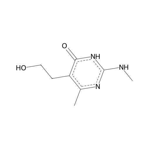 CNc1nc(C)c(CCO)c(=O)[nH]1